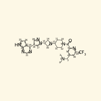 CN(C)Cc1cc(C(=O)N2CCC(N3C[C](n4cc(-c5ncnc6[nH]ccc56)cn4)C3)CC2)nc(C(F)(F)F)c1